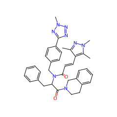 Cc1nn(C)c(C)c1C=CC(=O)N(Cc1ccc(-c2nnn(C)n2)cc1)C(Cc1ccccc1)C(=O)N1CCc2ccccc2C1